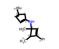 CC(C)C1=CC(C)(NC2=CC=C(C(C)(C)C)C2)C1C